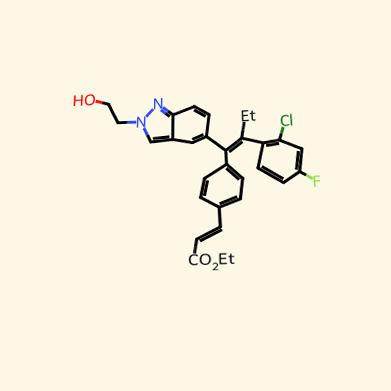 CCOC(=O)/C=C/c1ccc(/C(=C(/CC)c2ccc(F)cc2Cl)c2ccc3nn(CCO)cc3c2)cc1